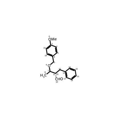 COc1ccc(COC(C)[C@@H](C=O)Cc2ccccc2)cc1